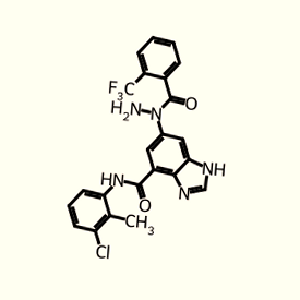 Cc1c(Cl)cccc1NC(=O)c1cc(N(N)C(=O)c2ccccc2C(F)(F)F)cc2[nH]cnc12